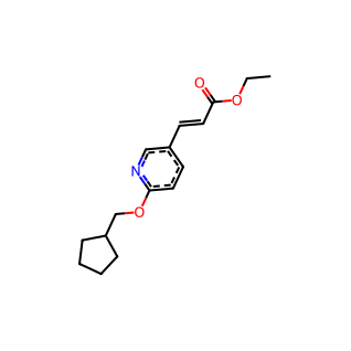 CCOC(=O)/C=C/c1ccc(OCC2CCCC2)nc1